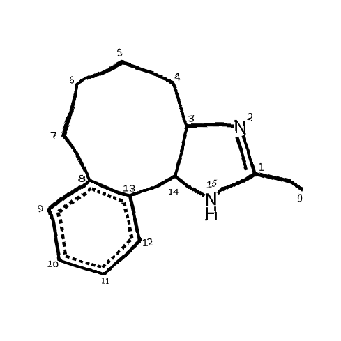 CC1=NC2CCCCc3ccccc3C2N1